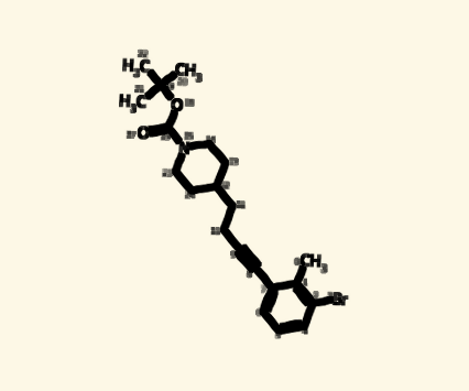 Cc1c(Br)cccc1C#CCCC1CCN(C(=O)OC(C)(C)C)CC1